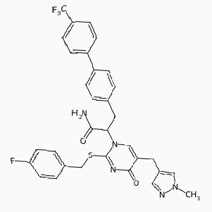 Cn1cc(Cc2cn(C(Cc3ccc(-c4ccc(C(F)(F)F)cc4)cc3)C(N)=O)c(SCc3ccc(F)cc3)nc2=O)cn1